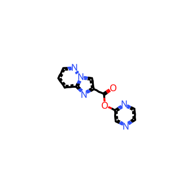 O=C(Oc1cnccn1)c1cn2ncccc2n1